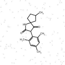 Cc1cc(C)c(C2C(=O)NC3(CCC(C)C3)C2=O)c(C)c1